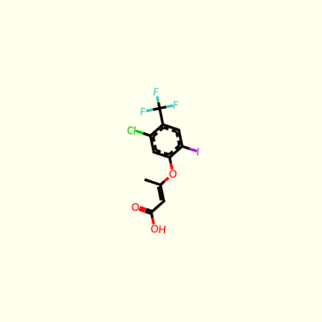 C/C(=C\C(=O)O)Oc1cc(Cl)c(C(F)(F)F)cc1I